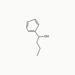 CCCC(O)c1cc[c]cc1